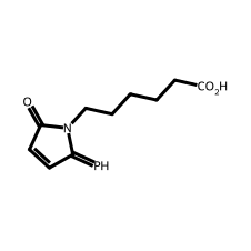 O=C(O)CCCCCN1C(=O)C=CC1=P